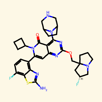 Nc1nc2c(-c3cc4nc(OCC56CCCN5C[C@H](F)C6)nc(N5C6CCC5CNC6)c4c(=O)n3C3CCC3)ccc(F)c2s1